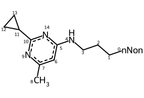 CCCCCCCCCCCCNc1cc(C)nc(C2CC2)n1